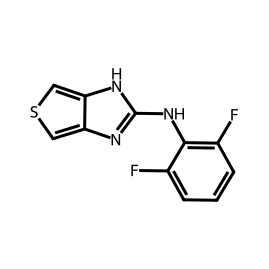 Fc1cccc(F)c1Nc1nc2cscc2[nH]1